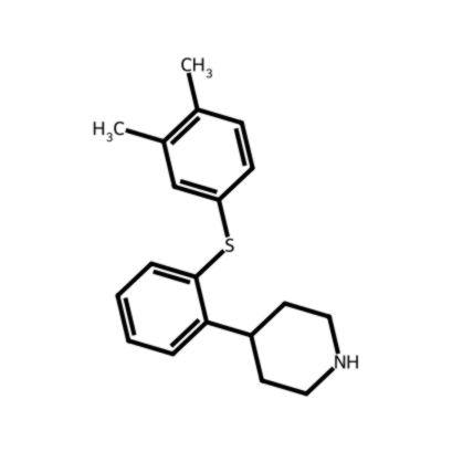 Cc1ccc(Sc2ccccc2C2CCNCC2)cc1C